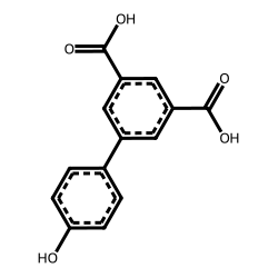 O=C(O)c1cc(C(=O)O)cc(-c2ccc(O)cc2)c1